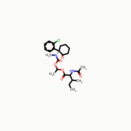 CCC(C)C(NC(C)=O)C(=O)OC(C)OC(=O)N(C)[C@]1(c2ccccc2Cl)CCCCC1=O